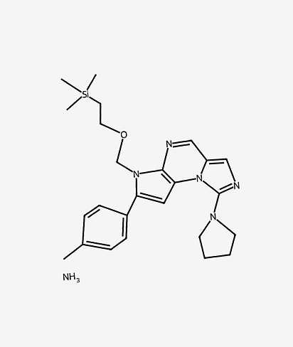 Cc1ccc(-c2cc3c(ncc4cnc(N5CCCC5)n43)n2COCC[Si](C)(C)C)cc1.N